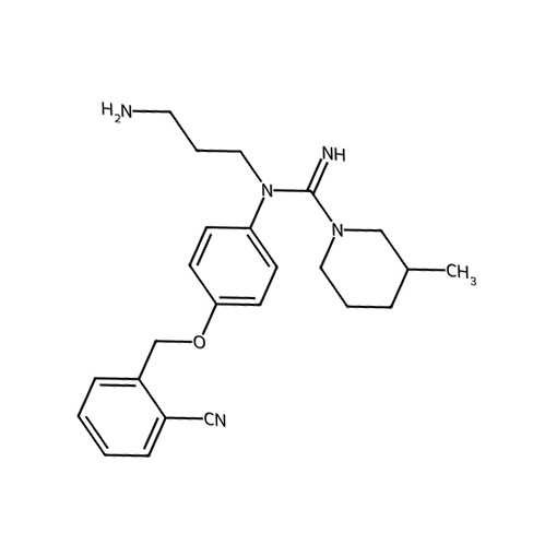 CC1CCCN(C(=N)N(CCCN)c2ccc(OCc3ccccc3C#N)cc2)C1